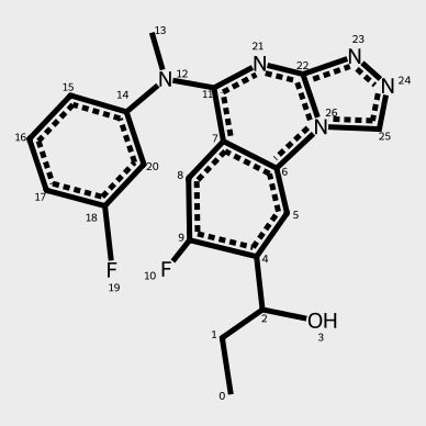 CCC(O)c1cc2c(cc1F)c(N(C)c1cccc(F)c1)nc1nncn12